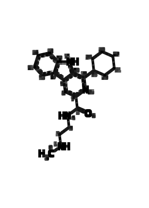 CNCCNC(=O)c1cc2c([nH]c3ccccc32)c(C2CCCCC2)n1